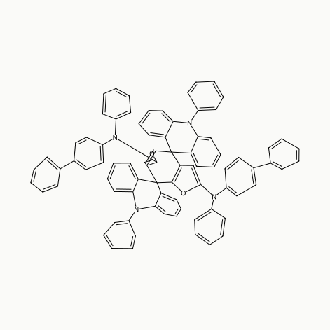 c1ccc(-c2ccc(N(c3ccccc3)c3cc4c(o3)C3(c5ccccc5N(c5ccccc5)c5ccccc53)c3cc(N(c5ccccc5)c5ccc(-c6ccccc6)cc5)oc3C43c4ccccc4N(c4ccccc4)c4ccccc43)cc2)cc1